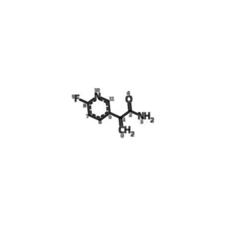 C=C(C(N)=O)c1ccc(F)nc1